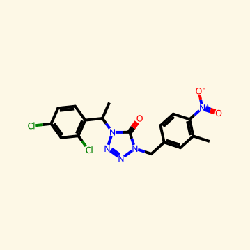 Cc1cc(Cn2nnn(C(C)c3ccc(Cl)cc3Cl)c2=O)ccc1[N+](=O)[O-]